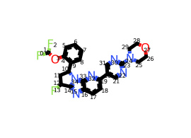 FC(F)Oc1ccccc1C1CC(F)c2nc3ccc(-c4cnc(N5CCOCC5)nc4)nc3n21